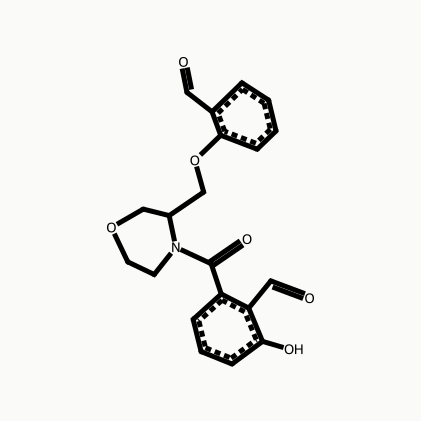 O=Cc1ccccc1OCC1COCCN1C(=O)c1cccc(O)c1C=O